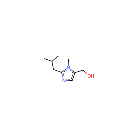 CC(C)Cc1ncc(CO)n1C